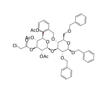 CC(=O)OC[C@H]1O[C@@H](O[C@@H]2[C@@H](OCc3ccccc3)[C@H](OCc3ccccc3)O[C@H](COCc3ccccc3)[C@H]2OCc2ccccc2)[C@H](OC(C)=O)[C@@H](OC(=O)CCl)[C@@H]1OC(C)=O